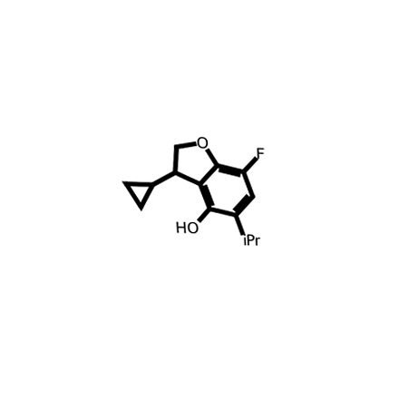 CC(C)c1cc(F)c2c(c1O)C(C1CC1)CO2